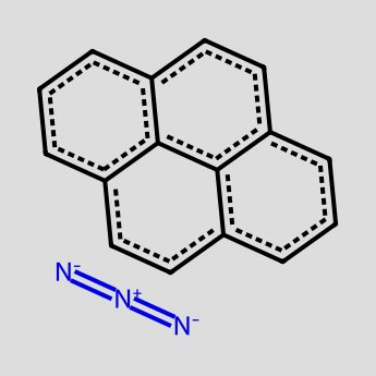 [N-]=[N+]=[N-].c1cc2ccc3cccc4ccc(c1)c2c34